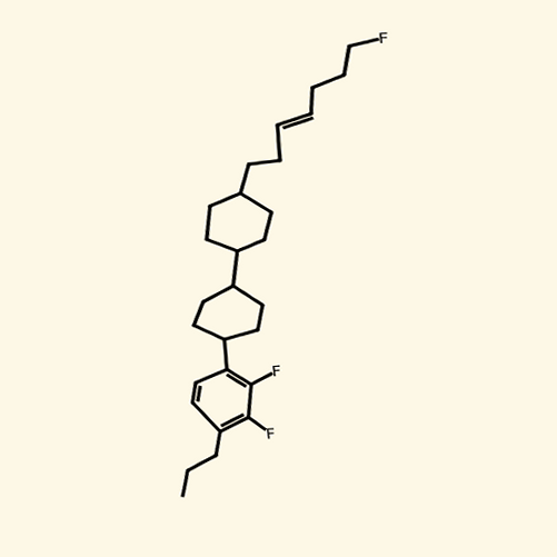 CCCc1ccc(C2CCC(C3CCC(CC/C=C/CCCF)CC3)CC2)c(F)c1F